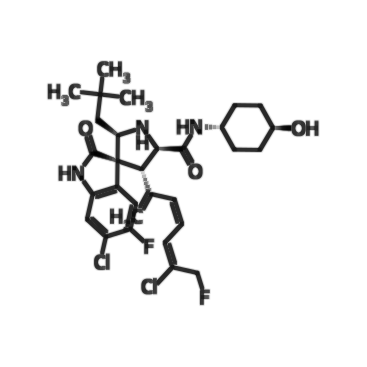 C=C(/C=C\C=C(\Cl)CF)[C@H]1[C@H](C(=O)N[C@H]2CC[C@H](O)CC2)N[C@H](CC(C)(C)C)[C@]12C(=O)Nc1cc(Cl)c(F)cc12